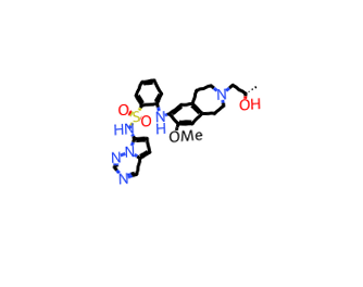 COc1cc2c(cc1Nc1ccccc1S(=O)(=O)Nc1ccc3cncnn13)CCN(C[C@H](C)O)CC2